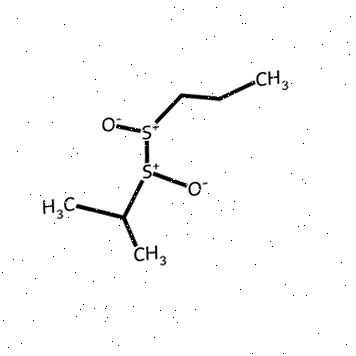 CCC[S+]([O-])[S+]([O-])C(C)C